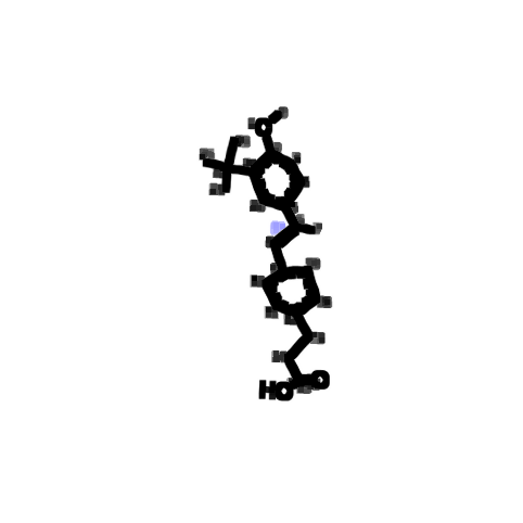 COc1ccc(/C(C)=C/c2ccc(CCC(=O)O)cc2)cc1C(C)(C)C